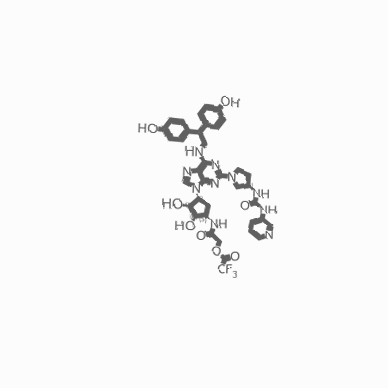 O=C(COC(=O)C(F)(F)F)N[C@H]1C[C@@H](n2cnc3c(NCC(c4ccc(O)cc4)c4ccc(O)cc4)nc(N4CC[C@@H](NC(=O)Nc5cccnc5)C4)nc32)[C@H](O)[C@@H]1O